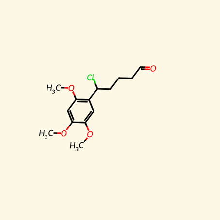 COc1cc(OC)c(C(Cl)CCCC=O)cc1OC